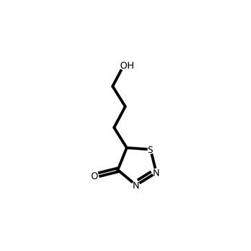 O=C1N=NSC1CCCO